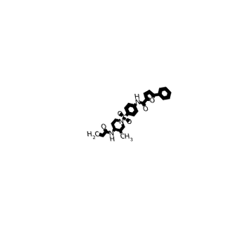 C=CC(=O)NC1CCN(S(=O)(=O)c2ccc(NC(=O)c3ccc(-c4ccccc4)o3)cc2)CC1C